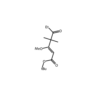 CCC(=O)C(C)(C)C(=CC(=O)OC(C)(C)C)OC